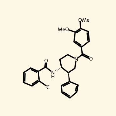 COc1ccc(C(=O)N2CC[C@@H](NC(=O)c3ccccc3Cl)[C@H](c3ccccc3)C2)cc1OC